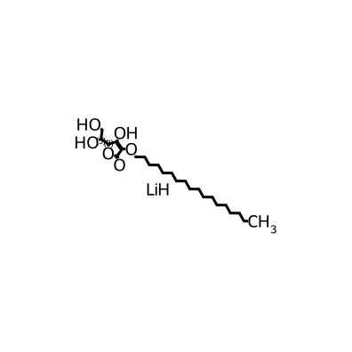 CCCCCCCCCCCCCCCCCCOC1=C(O)[C@@H]([C@@H](O)CO)OC1=O.[LiH]